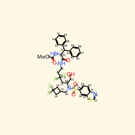 COC(=O)N[C@H](C(=O)NCCC(F)(F)C[C@@H](CO)N(CC1CC(F)(F)C1)S(=O)(=O)c1ccc2ncsc2c1)C(c1ccccc1)c1ccccc1